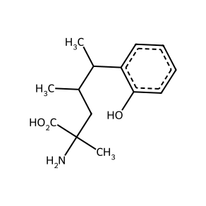 CC(CC(C)(N)C(=O)O)C(C)c1ccccc1O